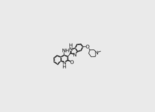 CN1CCCC(Oc2ccc3[nH]c(-c4c(N)c5ccccc5[nH]c4=O)nc3c2)C1